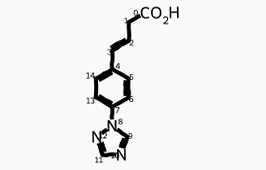 O=C(O)CC=Cc1ccc(-n2cncn2)cc1